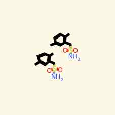 Cc1ccc(C)c(CS(N)(=O)=O)c1.Cc1ccc(C)c(CS(N)(=O)=O)c1